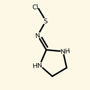 ClSN=C1NCCN1